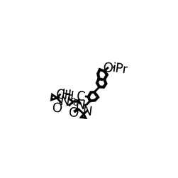 Cc1cc(-c2ccc3cc(OC(C)C)ccc3c2)ccc1C1=NC2(CC2)C(=O)N1CC1CN(C(=O)C2(C)CC2)C1